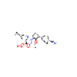 CCOc1c(Nc2ncc(C3CC3)cc2C(=O)O)cccc1-c1ccc(C#N)cc1